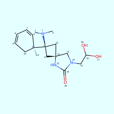 CN(C)[C@]1([C@]2(C)C=CC=CC2)C[C@]2(CN(CC(O)O)C(=O)N2)C1